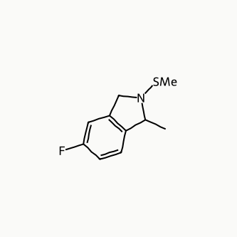 CSN1Cc2cc(F)ccc2C1C